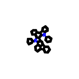 c1ccc(-n2c3ccccc3c3c4ccccc4c4c(c5cc6c7c(cccc7c5n4-c4ccccc4)-c4ccccc4-6)c32)cc1